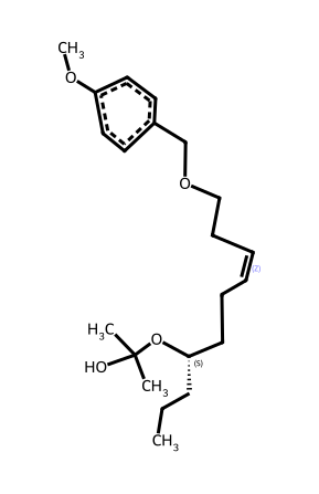 CCC[C@@H](CC/C=C\CCOCc1ccc(OC)cc1)OC(C)(C)O